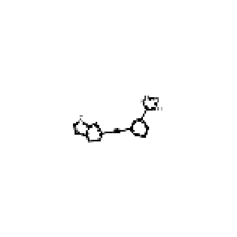 C(#Cc1ccc2cc[nH]c2c1)c1cccc(-c2nnn[nH]2)c1